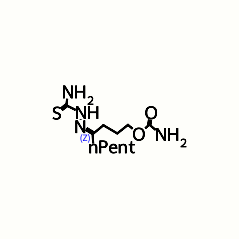 CCCCC/C(CCCOC(N)=O)=N/NC(N)=S